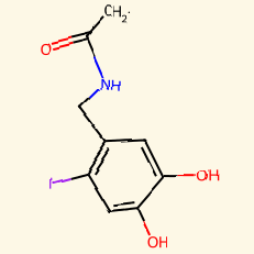 [CH2]C(=O)NCc1cc(O)c(O)cc1I